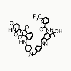 CN(Cc1ccc(-n2cc3cc(NC(=O)c4cccc(C(F)(F)F)n4)c(C(C)(C)O)cc3n2)cc1)[C@H]1CC[C@H](Nc2cccc3c2C(=O)N(C2CCC(=O)NC2=O)C3=O)CC1